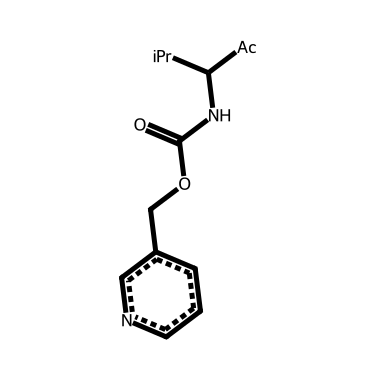 CC(=O)C(NC(=O)OCc1cccnc1)C(C)C